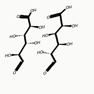 O=C[C@@H](O)[C@@H](O)[C@H](O)[C@H](O)C(=O)O.O=C[C@H](O)[C@H](O)[C@@H](O)[C@H](O)C(=O)O